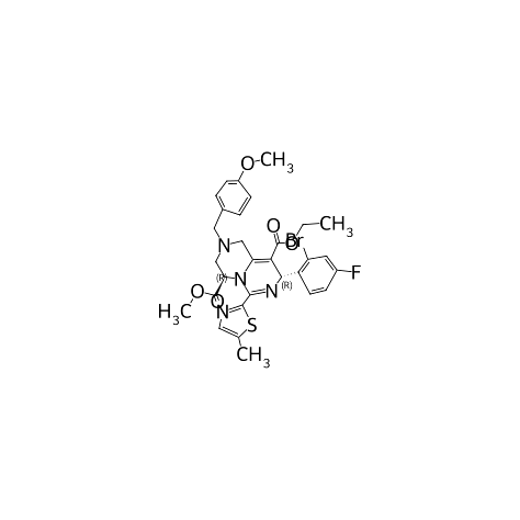 CCOC(=O)C1=C2CN(Cc3ccc(OC)cc3)C[C@H](C(=O)OC)N2C(c2ncc(C)s2)=N[C@H]1c1ccc(F)cc1Br